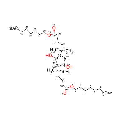 CCCCCCCCCCCCCCCCOC(=O)CCCC(C)(C)c1cc(O)c(C(C)(C)CCCC(=O)OCCCCCCCCCCCCCCCC)cc1O